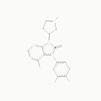 COc1cc(-n2c(=O)n(C3CCN(C(=O)O)C3)c3ncnc(N)c32)ccc1C